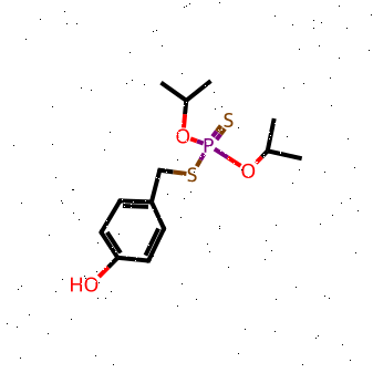 CC(C)OP(=S)(OC(C)C)SCc1ccc(O)cc1